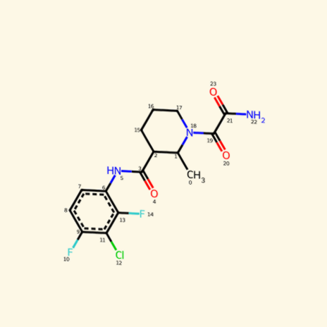 CC1C(C(=O)Nc2ccc(F)c(Cl)c2F)CCCN1C(=O)C(N)=O